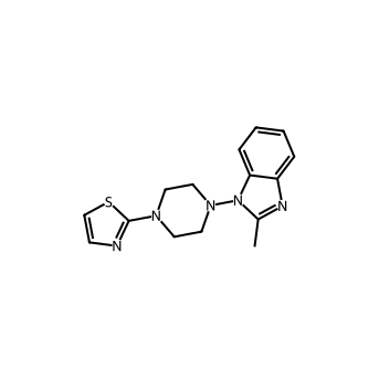 Cc1nc2ccccc2n1N1CCN(c2nccs2)CC1